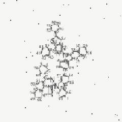 c1ccc(C2=NC(n3c4ccccc4c4ccc(-c5ccc6c(c5)c5cc7ccccc7cc5n6-c5nc(-c6ccccc6)c6sc(-c7ccccc7)cc6n5)cc43)Nc3c2ccc2ccccc32)cc1